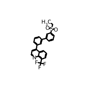 CCS(=O)(=O)c1cccc(-c2cccc(-c3ccnc4c(C(F)(F)F)cccc34)c2)c1